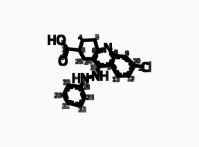 O=C(O)C1CCc2nc3cc(Cl)ccc3c(NNc3ccccc3)c2C1